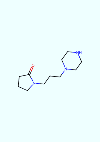 O=C1CCCN1CCCN1CCNCC1